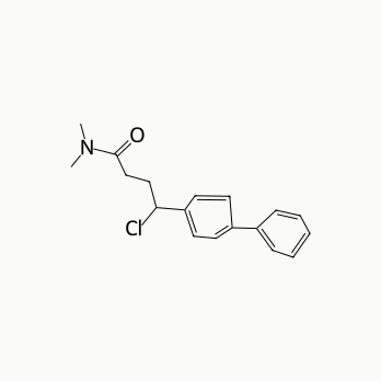 CN(C)C(=O)CCC(Cl)c1ccc(-c2ccccc2)cc1